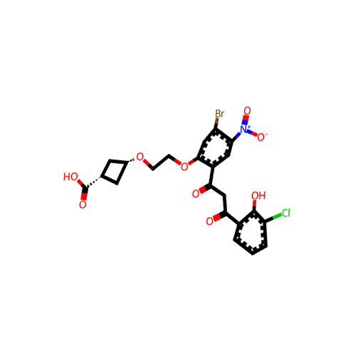 O=C(CC(=O)c1cccc(Cl)c1O)c1cc([N+](=O)[O-])c(Br)cc1OCCO[C@H]1C[C@@H](C(=O)O)C1